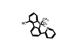 C[Si]1(C)c2cccc(C#N)c2-c2cccc(-c3ccccn3)c21